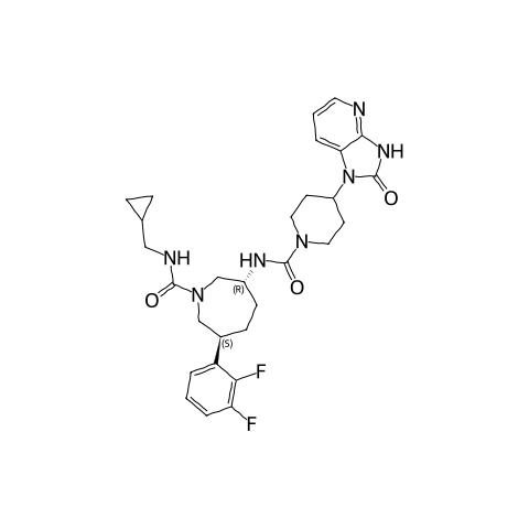 O=C(NCC1CC1)N1C[C@H](NC(=O)N2CCC(n3c(=O)[nH]c4ncccc43)CC2)CC[C@@H](c2cccc(F)c2F)C1